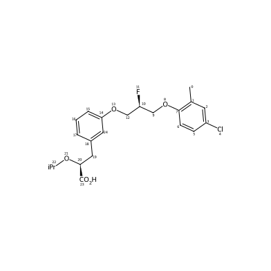 Cc1cc(Cl)ccc1OC[C@H](F)COc1cccc(C[C@H](OC(C)C)C(=O)O)c1